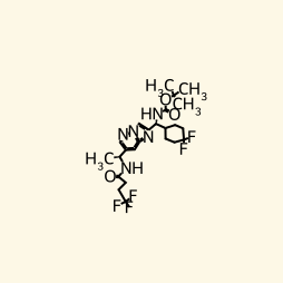 C[C@H](NC(=O)CCC(F)(F)F)c1cnn2cc([C@@H](NC(=O)OC(C)(C)C)C3CCC(F)(F)CC3)nc2c1